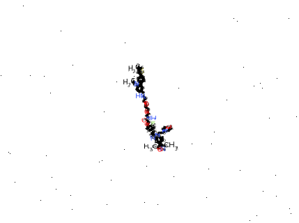 CCn1c2ccc(CNCCOCCOCCNC(=O)COc3ccc(CCc4nc5cc(-c6c(C)noc6C)ccc5n4CCN4CCOCC4)cc3F)cc2c2ccc(-c3cc(C)cs3)cc21